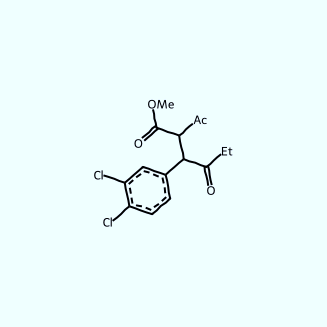 CCC(=O)C(c1ccc(Cl)c(Cl)c1)C(C(C)=O)C(=O)OC